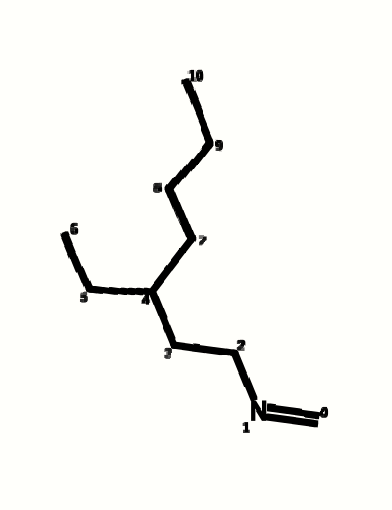 C=NCCC(CC)CCCC